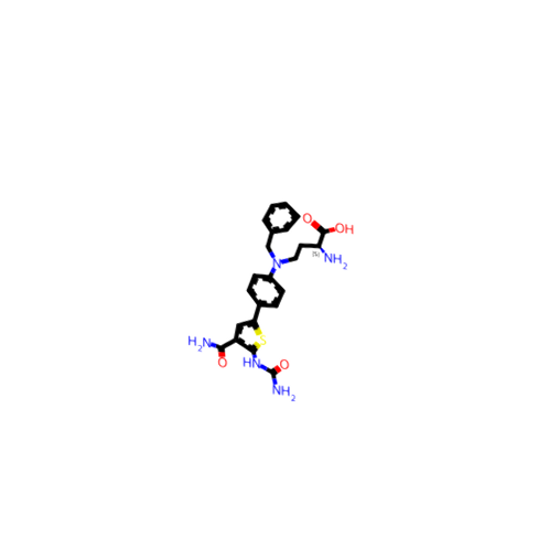 NC(=O)Nc1sc(-c2ccc(N(CC[C@H](N)C(=O)O)Cc3ccccc3)cc2)cc1C(N)=O